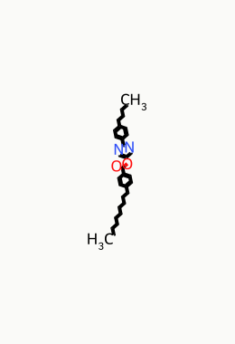 CCCCCCCCCCc1ccc(C(=O)Oc2cnc(-c3ccc(CCCCC)cc3)nc2)cc1